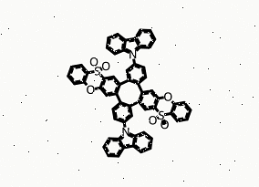 O=S1(=O)c2ccccc2Oc2cc3c(cc21)-c1cc(-n2c4ccccc4c4ccccc42)ccc1-c1cc2c(cc1-c1cc(-n4c5ccccc5c5ccccc54)ccc1-3)S(=O)(=O)c1ccccc1O2